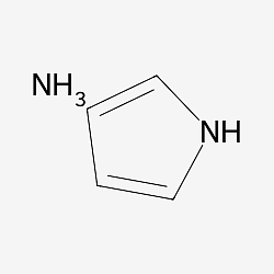 N.c1cc[nH]c1